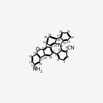 N#Cc1cccc(-c2ccc3oc4ccc(N)cc4c3c2)c1-n1c2ccccc2c2ccccc21